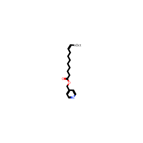 CCCCCCCC/C=C\CCCCCCCC(=O)OCc1ccncc1